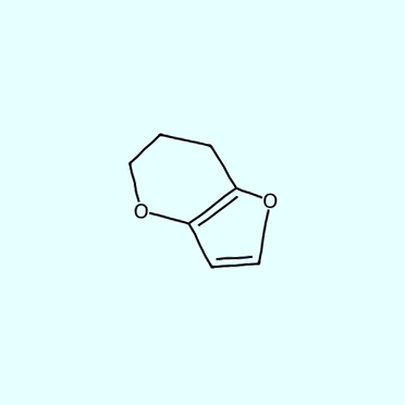 c1cc2c(o1)CCCO2